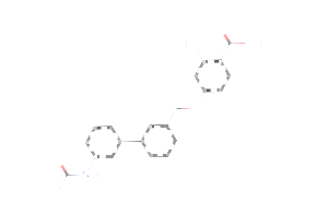 CC(=O)Nc1cccc(-c2cccc(COc3ccc(C(=O)O)c(O)c3)c2)c1